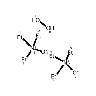 CC[N+]([O-])(CC)CC.CC[N+]([O-])(CC)CC.OO